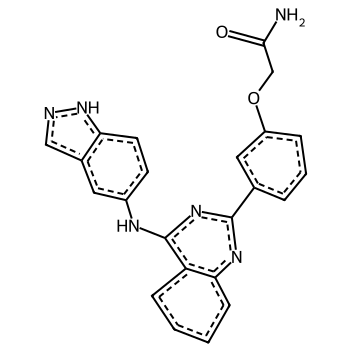 NC(=O)COc1cccc(-c2nc(Nc3ccc4[nH]ncc4c3)c3ccccc3n2)c1